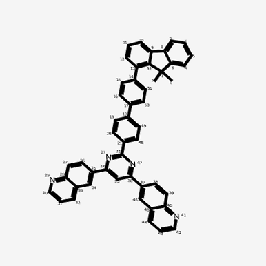 CC1(C)c2ccccc2-c2cccc(-c3ccc(-c4ccc(-c5nc(-c6ccc7ncccc7c6)cc(-c6ccc7ncccc7c6)n5)cc4)cc3)c21